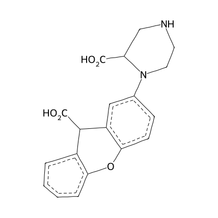 O=C(O)C1c2ccccc2Oc2ccc(N3CCNCC3C(=O)O)cc21